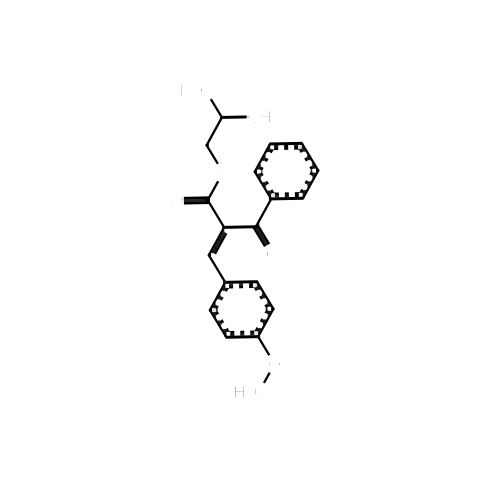 COc1ccc(/C=C(/C(=O)OCC(C)C)C(=O)c2ccccc2)cc1